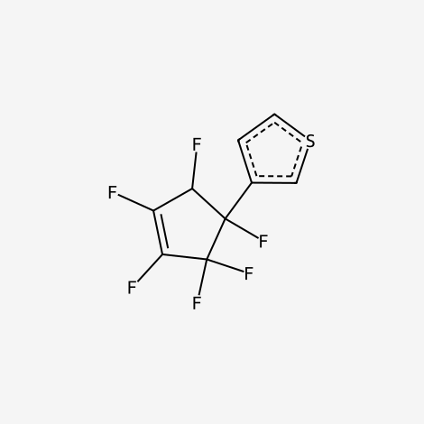 FC1=C(F)C(F)(F)C(F)(c2ccsc2)C1F